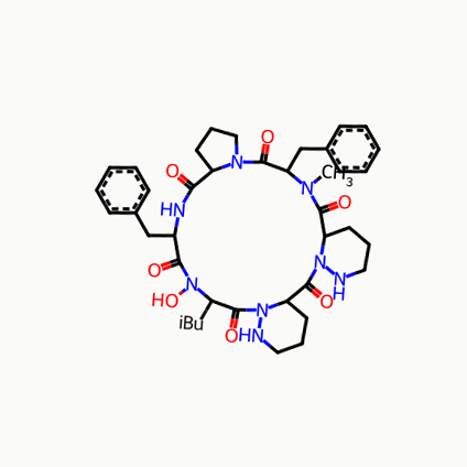 CCC(C)C1C(=O)N2NCCCC2C(=O)N2NCCCC2C(=O)N(C)C(Cc2ccccc2)C(=O)N2CCCC2C(=O)NC(Cc2ccccc2)C(=O)N1O